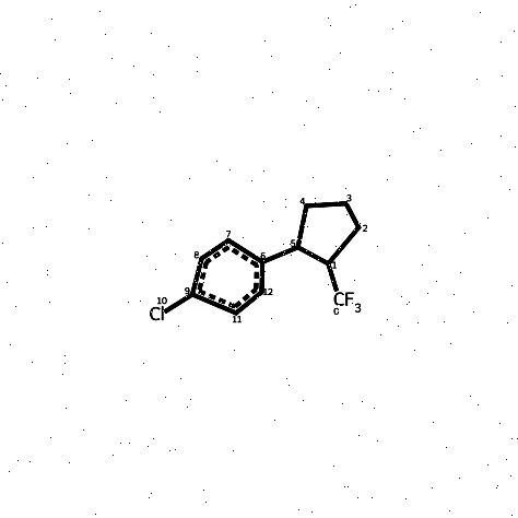 FC(F)(F)C1CCCC1c1ccc(Cl)cc1